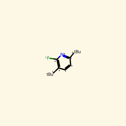 CC(C)(C)c1ccc(C(C)(C)C)c(F)n1